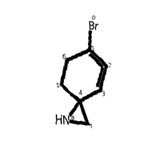 BrC1=C=CC2(CC1)CN2